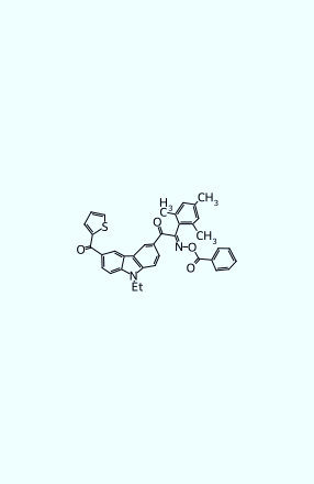 CCn1c2ccc(C(=O)/C(=N/OC(=O)c3ccccc3)c3c(C)cc(C)cc3C)cc2c2cc(C(=O)c3cccs3)ccc21